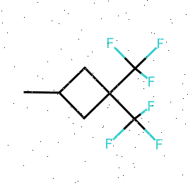 CC1CC(C(F)(F)F)(C(F)(F)F)C1